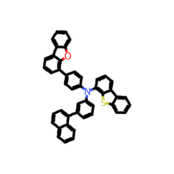 c1cc(-c2cccc3ccccc23)cc(N(c2ccc(-c3cccc4c3oc3ccccc34)cc2)c2cccc3c2sc2ccccc23)c1